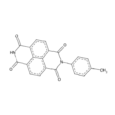 Cc1ccc(N2C(=O)c3ccc4c5c(ccc(c35)C2=O)C(=O)NC4=O)cc1